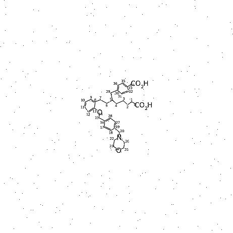 O=C(O)CCCCC(CCc1ccccc1OCc1ccc(CN2CCOCC2)cc1)Cc1ccc(C(=O)O)cc1